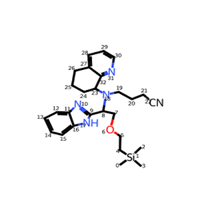 C[Si](C)(C)CCOCC(c1nc2ccccc2[nH]1)N(CCCC#N)C1CCCc2cccnc21